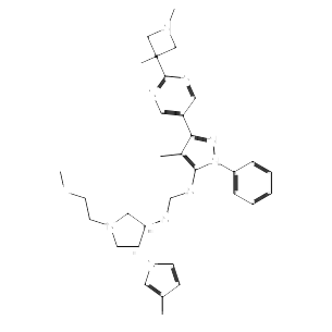 COCCN1C[C@@H](n2ccc(F)c2)[C@H](NCNc2c(C)c(-c3cnc(C4(F)CN(C)C4)nc3)nn2-c2ccccc2)C1